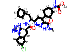 CNC(=O)c1nnc(C(Cc2ccccc2)NC(=O)C=Cc2cc(Cl)ccc2-n2cnnn2)cc1-c1ccc(NC(=O)OC)cc1